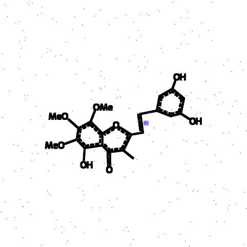 COc1c(OC)c(O)c2c(=O)c(C)c(/C=C/c3cc(O)cc(O)c3)oc2c1OC